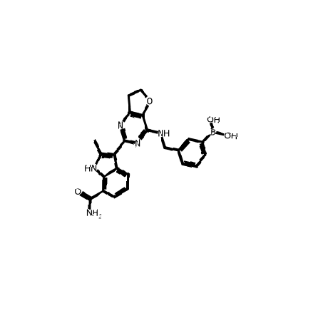 Cc1[nH]c2c(C(N)=O)cccc2c1-c1nc2c(c(NCc3cccc(B(O)O)c3)n1)OCC2